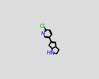 Clc1ccc(C2=CC3CCNC3C2)cn1